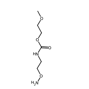 COCCOC(=O)NCCON